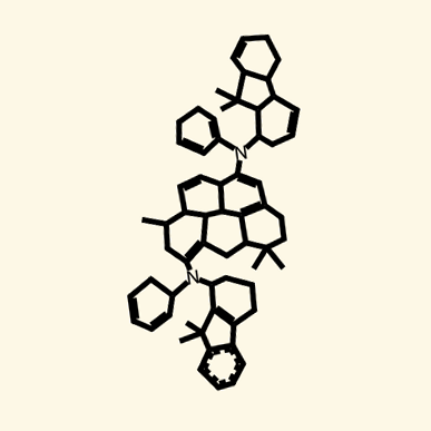 CC1CC(N(C2C=CC=CC2)C2CCCC3=C2C(C)(C)c2ccccc23)=C2CC3C4=C(C=C(N(C5=CCCC=C5)C5CC=CC6C7CCC=CC7C(C)(C)C65)C5C=CC1C2C45)CCC3(C)C